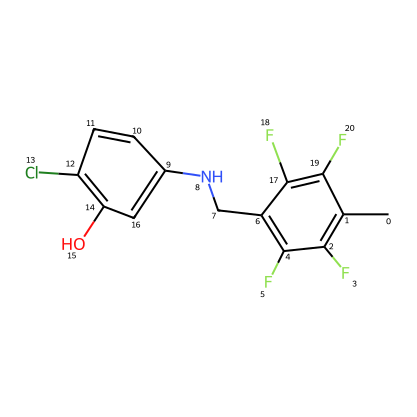 Cc1c(F)c(F)c(CNc2ccc(Cl)c(O)c2)c(F)c1F